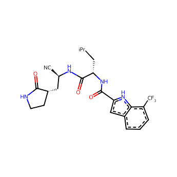 CC(C)C[C@H](NC(=O)c1cc2cccc(C(F)(F)F)c2[nH]1)C(=O)N[C@H](C#N)C[C@@H]1CCNC1=O